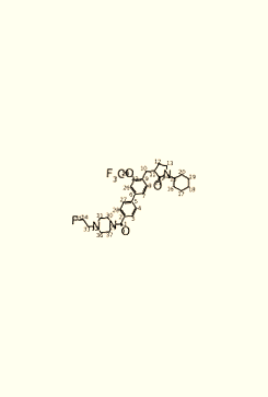 O=C(c1ccc(-c2ccc(CC3CCN(C4CCCCC4)C3=O)c(OC(F)(F)F)c2)cc1)N1CCN(CCF)CC1